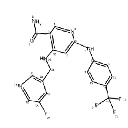 NC(=O)c1cnc(Nc2ccc(C(F)(F)F)cc2)cc1NCc1cncc(F)c1